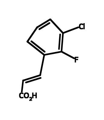 O=C(O)C=Cc1cccc(Cl)c1F